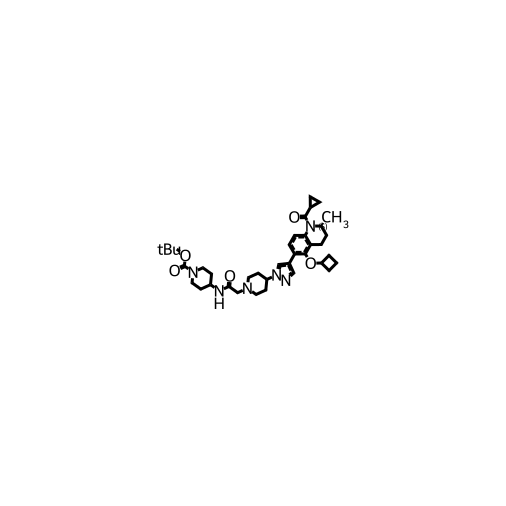 C[C@H]1CCc2c(ccc(-c3cnn(C4CCN(CC(=O)NC5CCN(C(=O)OC(C)(C)C)CC5)CC4)c3)c2OC2CCC2)N1C(=O)C1CC1